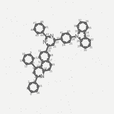 c1ccc(-c2cc(-c3ccccc3)c3c(ccc4cc(-c5cc(-c6ccc(-n7c8ccccc8c8ccccc87)cc6)nc(-c6ccccc6)n5)ccc43)n2)cc1